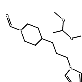 COC(C)OC.O=CN1CCC(CCCn2ccnc2)CC1